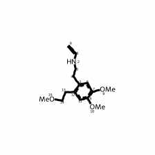 C=CNCCc1cc(OC)c(OC)cc1CCOC